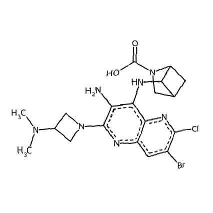 CN(C)C1CN(c2nc3cc(Br)c(Cl)nc3c(NC3C4CC3N(C(=O)O)C4)c2N)C1